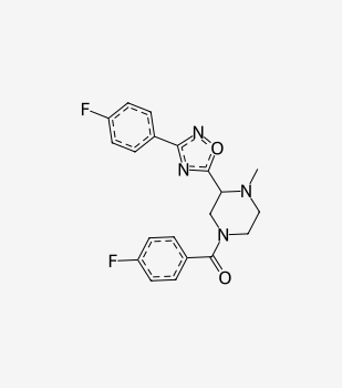 CN1CCN(C(=O)c2ccc(F)cc2)CC1c1nc(-c2ccc(F)cc2)no1